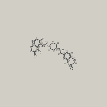 Cn1c(=O)ccc2ncc(F)c(OC[C@H]3CC[C@H](NCc4ccc5c(n4)NC(=O)CS5)CC3)c21